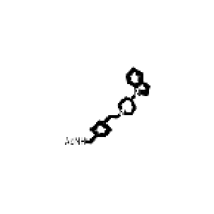 CC(=O)NCc1ccc(CCN2CCC(n3ccc4ccccc43)CC2)cc1